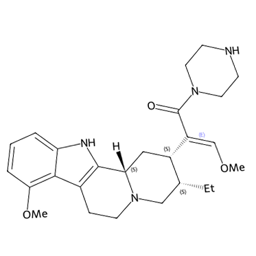 CC[C@@H]1CN2CCc3c([nH]c4cccc(OC)c34)[C@@H]2C[C@@H]1/C(=C\OC)C(=O)N1CCNCC1